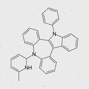 CC1=CC=CC(N2c3ccccc3-c3c(n(-c4ccccc4)c4ccccc34)-c3ccccc32)N1